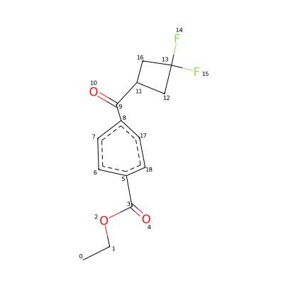 CCOC(=O)c1ccc(C(=O)C2CC(F)(F)C2)cc1